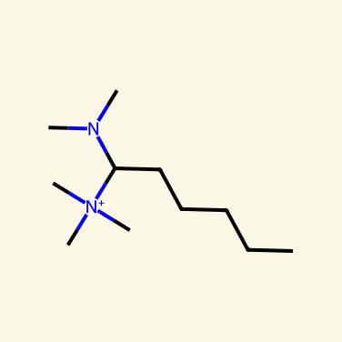 CCCCCC(N(C)C)[N+](C)(C)C